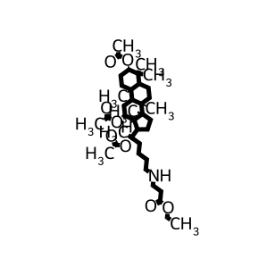 CCOC(=O)CCNCCCCC(C)(OC(C)=O)C1CC[C@]2(C)[C@@H]1C(OC(C)=O)CC1[C@@]3(C)CC[C@H](OC(C)=O)C(C)(C)C3CC[C@]12C